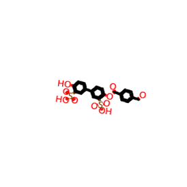 O=Cc1ccc(C(=O)Oc2ccc(-c3ccc(O)c(S(=O)(=O)O)c3)cc2S(=O)(=O)O)cc1